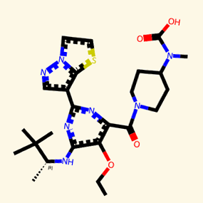 CCOc1c(N[C@H](C)C(C)(C)C)nc(-c2cnn3ccsc23)nc1C(=O)N1CCC(N(C)C(=O)O)CC1